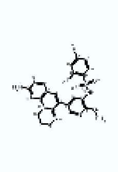 COc1ncc(C2=Cc3cnc(N)nc3N3CCCN=C23)cc1NS(=O)(=O)c1ccc(F)cc1F